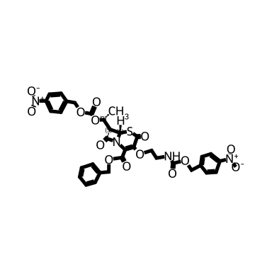 C[C@@H](OC(=O)OCc1ccc([N+](=O)[O-])cc1)[C@H]1C(=O)N2C(C(=O)OCc3ccccc3)=C(OCCNC(=O)OCc3ccc([N+](=O)[O-])cc3)C(=O)S[C@@H]12